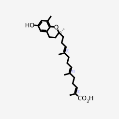 C/C(=C\CC/C(C)=C/CC[C@@]1(C)CCc2cc(O)cc(C)c2O1)CC/C=C(\C)C(=O)O